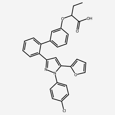 CCC(Oc1cccc(-c2ccccc2-c2cc(-c3ccco3)n(-c3ccc(Cl)cc3)n2)c1)C(=O)O